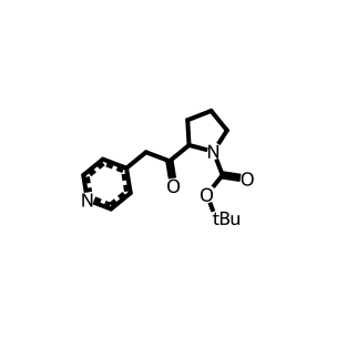 CC(C)(C)OC(=O)N1CCCC1C(=O)Cc1ccncc1